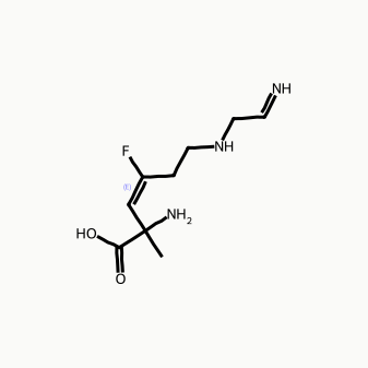 CC(N)(/C=C(/F)CCNCC=N)C(=O)O